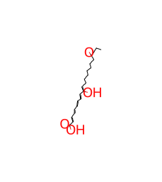 CCC1OC1CCCCCCC/C=C(O)/C=C/C=C/C=C/C=C/C(=O)O